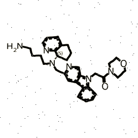 NCCCCN(Cc1cc2c3ccccc3n(CC(=O)N3CCOCC3)c2cn1)[C@H]1CCCc2cccnc21